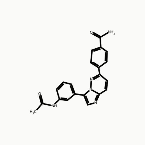 CC(=O)Nc1cccc(-c2cnc3ccc(-c4ccc(C(N)=O)cc4)nn23)c1